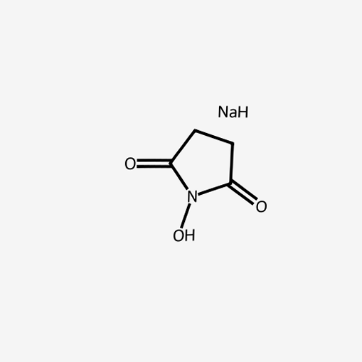 O=C1CCC(=O)N1O.[NaH]